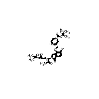 CC(C)(C)OC(=O)CC[C@@H](C(N)=O)N1Cc2c(ccc(Br)c2OC[C@H]2CN(C(=O)OC(C)(C)C)CCN2)C1=O